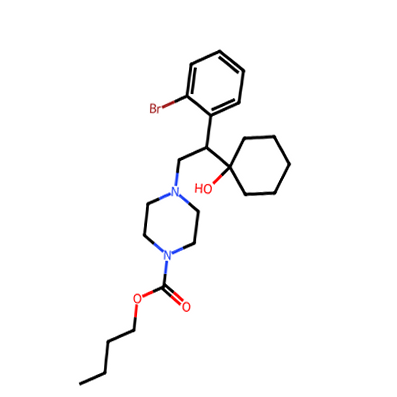 CCCCOC(=O)N1CCN(CC(c2ccccc2Br)C2(O)CCCCC2)CC1